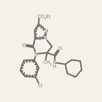 CCOC(=O)c1cc2n(n1)CC(C)(C(=O)NC1CCCCC1)N(c1cccc(Cl)c1)C2=O